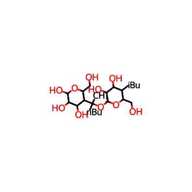 CCCCC(C)(OC1OC(CO)C(C(C)CC)C(O)C1O)C1C(CO)OC(O)C(O)C1O